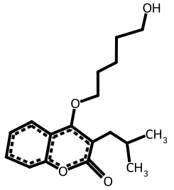 CC(C)Cc1c(OCCCCCO)c2ccccc2oc1=O